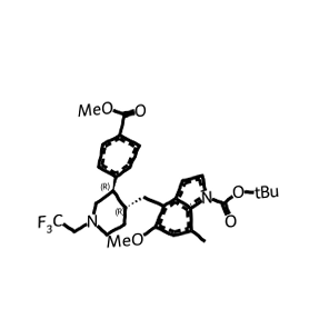 COC(=O)c1ccc([C@@H]2CN(CC(F)(F)F)CC[C@H]2Cc2c(OC)cc(C)c3c2ccn3C(=O)OC(C)(C)C)cc1